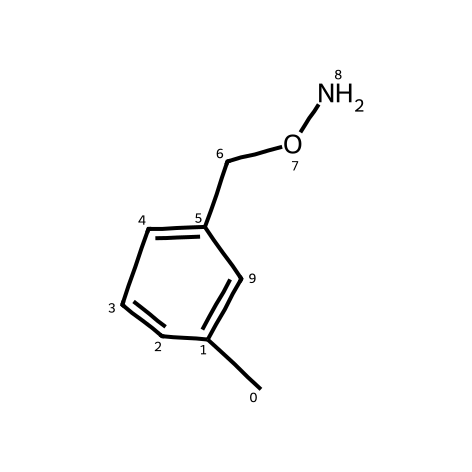 Cc1cccc(CON)c1